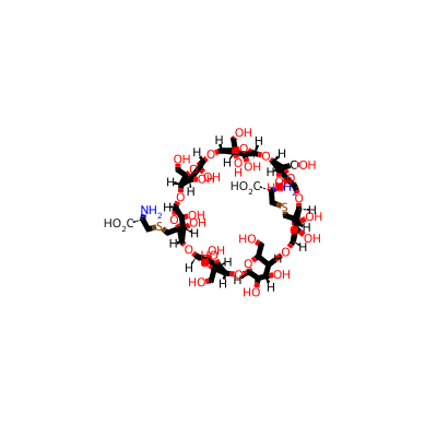 N[C@H](CSCC1O[C@@H]2O[C@@H]3C(CO)O[C@@H](O[C@@H]4C(CO)O[C@@H](O[C@@H]5C(CSC[C@@H](N)C(=O)O)O[C@@H](O[C@@H]6C(CO)O[C@H](O[C@@H]7C(CO)O[C@H](O[C@@H]8C(CO)OC(O[C@H]1[C@H](O)C2O)C(O)[C@H]8O)C(O)[C@H]7O)C(O)[C@H]6O)C(O)[C@H]5O)C(O)[C@H]4O)C(O)[C@H]3O)C(=O)O